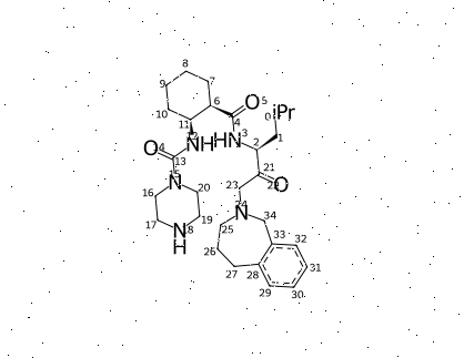 CC(C)C[C@H](NC(=O)[C@@H]1CCCC[C@@H]1NC(=O)N1CCNCC1)C(=O)CN1CCCc2ccccc2C1